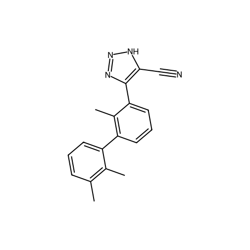 Cc1cccc(-c2cccc(-c3nn[nH]c3C#N)c2C)c1C